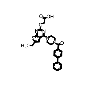 CCc1cc2c(N3CCN(C(=O)c4ccc(-c5ccccc5)cc4)CC3)nc(OCC(=O)O)nc2s1